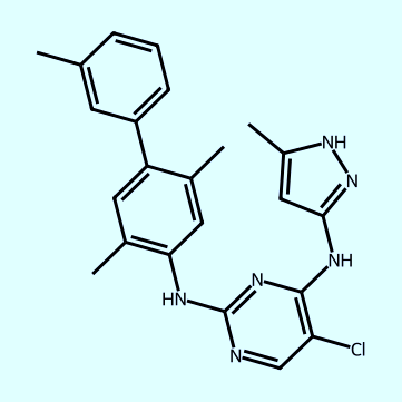 Cc1cccc(-c2cc(C)c(Nc3ncc(Cl)c(Nc4cc(C)[nH]n4)n3)cc2C)c1